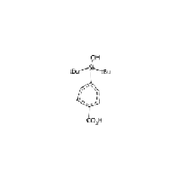 CC(C)(C)[Si](O)(c1ccc(C(=O)O)cc1)C(C)(C)C